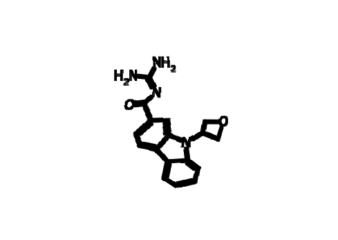 NC(N)=NC(=O)c1ccc2c3ccccc3n(C3COC3)c2c1